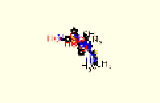 CC[C@@H](C)[C@H](C(=O)N[C@@H](Cc1ccccc1)[C@H](O)CN(CC1CCCC1)S(=O)(=O)c1ccc(C=NO)cc1)N1CCN(Cc2csc(CNC(C)C)n2)C1=O